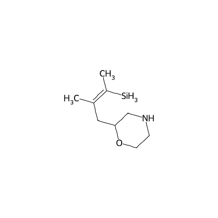 CC([SiH3])=C(C)CC1CNCCO1